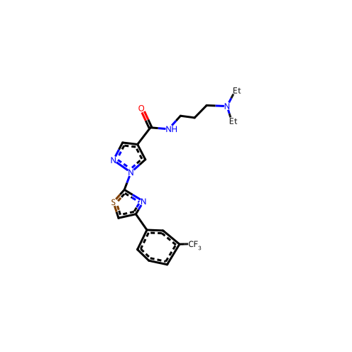 CCN(CC)CCCNC(=O)c1cnn(-c2nc(-c3cccc(C(F)(F)F)c3)cs2)c1